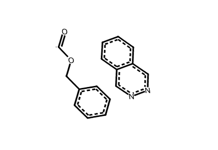 O=[C]OCc1ccccc1.c1ccc2cnncc2c1